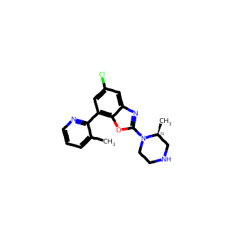 Cc1cccnc1-c1cc(Cl)cc2nc(N3CCNC[C@@H]3C)oc12